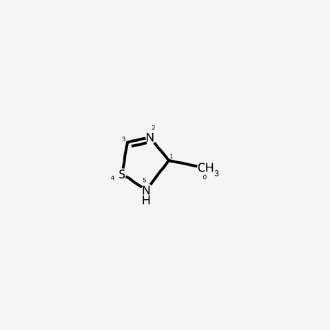 CC1N=CSN1